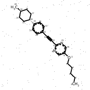 CCCCCOc1cnc(C#Cc2ccc([C@H]3CC[C@H](C)CC3)cc2)nc1